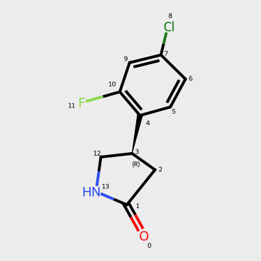 O=C1C[C@H](c2ccc(Cl)cc2F)CN1